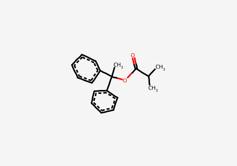 CC(C)C(=O)OC(C)(c1ccccc1)c1ccccc1